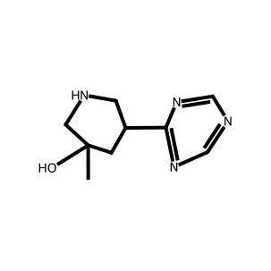 CC1(O)CNCC(c2ncncn2)C1